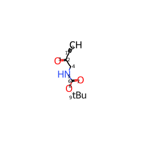 C#CC(=O)CNC(=O)OC(C)(C)C